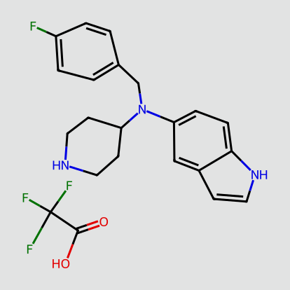 Fc1ccc(CN(c2ccc3[nH]ccc3c2)C2CCNCC2)cc1.O=C(O)C(F)(F)F